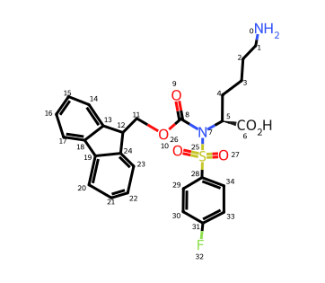 NCCCC[C@@H](C(=O)O)N(C(=O)OCC1c2ccccc2-c2ccccc21)S(=O)(=O)c1ccc(F)cc1